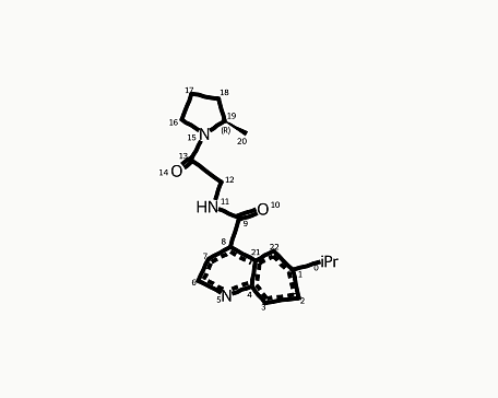 CC(C)c1ccc2nccc(C(=O)NCC(=O)N3CCC[C@H]3C)c2c1